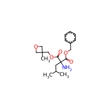 CC(C)CC(N)(C(=O)OCc1ccccc1)C(=O)OCC1(C)COC1